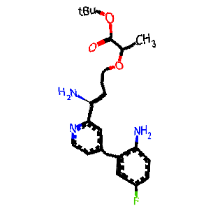 CC(OCC[C@H](N)c1cc(-c2cc(F)ccc2N)ccn1)C(=O)OC(C)(C)C